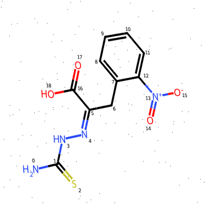 NC(=S)N/N=C(/Cc1ccccc1[N+](=O)[O-])C(=O)O